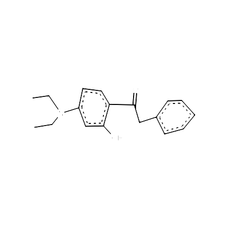 CCN(CC)c1ccc(C(=O)Cc2[c]cccc2)c(O)c1